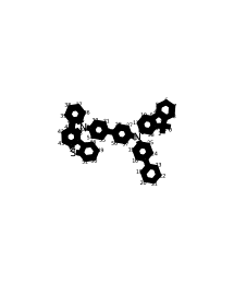 CC1(C)C2=C(CCC=C2)c2ccc(N(c3ccc(C4=CCCCC4)cc3)c3ccc(-c4ccc(-n5c6ccccc6c6ccc7c(c65)C5CCC=CC5S7)cc4)cc3)cc21